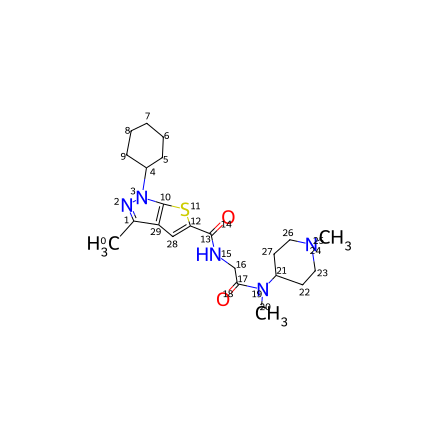 Cc1nn(C2CCCCC2)c2sc(C(=O)NCC(=O)N(C)C3CCN(C)CC3)cc12